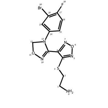 NCCSc1nonc1C1=NOCN1c1ccc(F)c(Br)c1